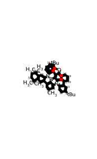 Cc1cc2c3c(c1)N(c1ccc(C(C)(C)C)cc1-c1ccccc1)c1ccc4oc5ccccc5c4c1B3N(c1ccc(C(C)(C)C)cc1)c1cc3c(cc1-2)C(C)(C)CCC3(C)C